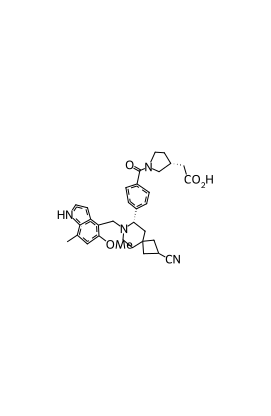 COc1cc(C)c2[nH]ccc2c1CN1CCC2(CC(C#N)C2)C[C@H]1c1ccc(C(=O)N2CC[C@H](CC(=O)O)C2)cc1